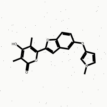 Cc1c(-c2cc3cc(Oc4ccn(C)c4)ccc3o2)oc(=O)c(C)c1O